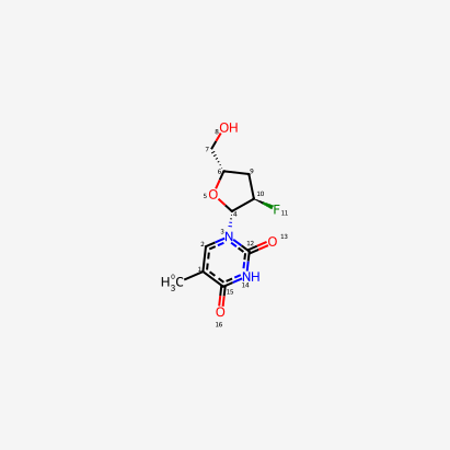 Cc1cn([C@@H]2O[C@H](CO)C[C@H]2F)c(=O)[nH]c1=O